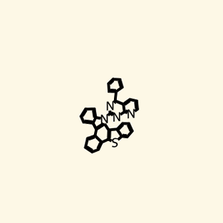 c1ccc(-c2nc(-n3c4ccccc4c4c5ccccc5c5sc6ccccc6c5c43)nc3ncccc23)cc1